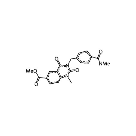 CNC(=O)c1ccc(Cn2c(=O)c3cc(C(=O)OC)ccc3n(C)c2=O)cc1